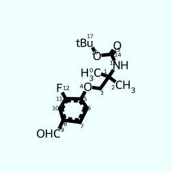 CC(C)(COc1ccc(C=O)cc1F)NC(=O)OC(C)(C)C